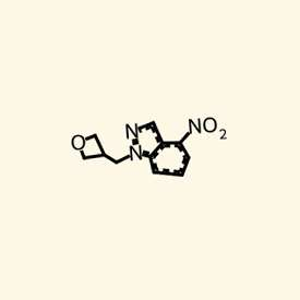 O=[N+]([O-])c1cccc2c1cnn2CC1COC1